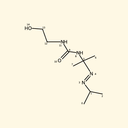 CC(C)N=NC(C)(C)NC(=O)NCCO